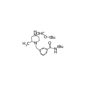 CC(C)(C)OC=O.CC1CNCCN1Cc1cccc(C(=O)NC(C)(C)C)c1